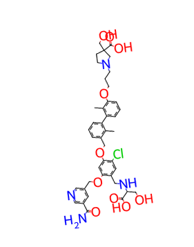 Cc1c(COc2cc(OCc3cncc(C(N)=O)c3)c(CNC(CO)C(=O)O)cc2Cl)cccc1-c1cccc(OCCCN2CCC(CO)(C(=O)O)C2)c1C